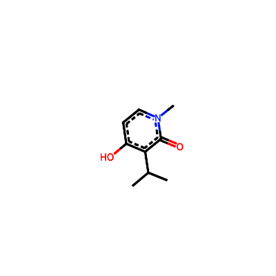 CC(C)c1c(O)ccn(C)c1=O